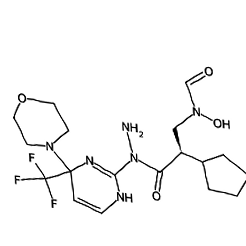 NN(C(=O)[C@@H](CN(O)C=O)C1CCCC1)C1=NC(N2CCOCC2)(C(F)(F)F)C=CN1